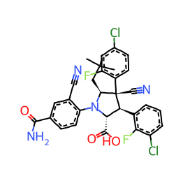 CC(C)(C)C[C@@H]1N(c2ccc(C(N)=O)cc2C#N)[C@@H](C(=O)O)[C@H](c2cccc(Cl)c2F)[C@@]1(C#N)c1ccc(Cl)cc1F